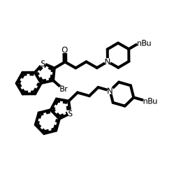 CCCCC1CCN(CCCC(=O)c2sc3ccccc3c2Br)CC1.CCCCC1CCN(CCCc2cc3ccccc3s2)CC1